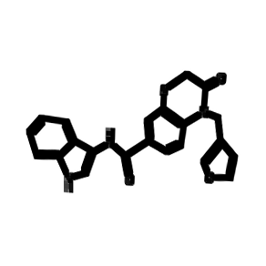 O=C(Nc1c[nH]c2ccccc12)c1ccc2c(c1)SCC(=O)N2Cc1ccoc1